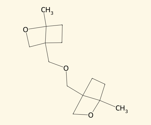 CC12CCC1(COCC13CCC1(C)OC3)CO2